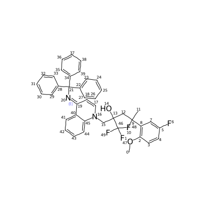 COc1ccc(F)cc1C(C)(C)CC(O)(Cn1cc/c(=N\C(c2ccccc2)(c2ccccc2)c2ccccc2)c2ccccc21)C(F)(F)F